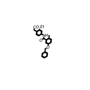 CCOC(=O)Cc1ccc(NC(=O)c2cc(OCc3ccccc3)ccc2C)cc1